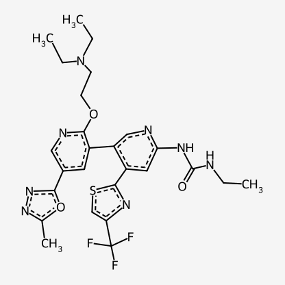 CCNC(=O)Nc1cc(-c2nc(C(F)(F)F)cs2)c(-c2cc(-c3nnc(C)o3)cnc2OCCN(CC)CC)cn1